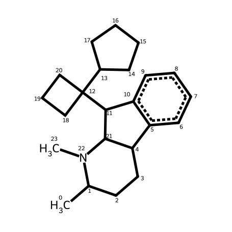 CC1CCC2c3ccccc3C(C3(C4CCCC4)CCC3)C2N1C